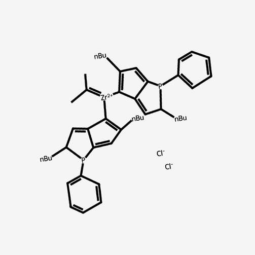 CCCCC1=[C]([Zr+2]([C]2=C(CCCC)C=C3C2=CC(CCCC)P3c2ccccc2)=[C](C)C)C2=CC(CCCC)P(c3ccccc3)C2=C1.[Cl-].[Cl-]